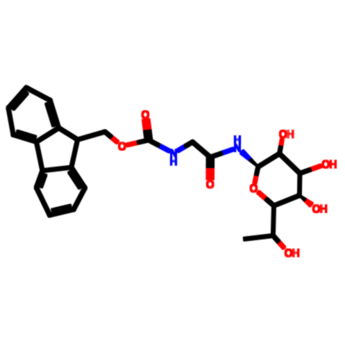 CC(O)C1O[C@@H](NC(=O)CNC(=O)OCC2c3ccccc3-c3ccccc32)C(O)C(O)[C@H]1O